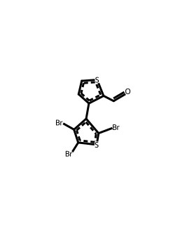 O=Cc1sccc1-c1c(Br)sc(Br)c1Br